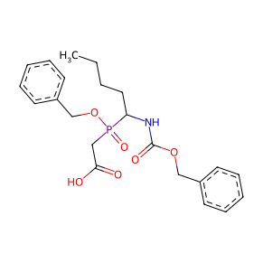 CCCCC(NC(=O)OCc1ccccc1)P(=O)(CC(=O)O)OCc1ccccc1